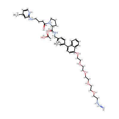 C=C(/C=C\C(=C/C)c1ccc(OCCOCCOCCOCCOCCN=[N+]=[N-])c2ccccc12)[C@H](CC(=O)O)NC(=O)[C@@H]1CCCN1C(=O)CCCNc1cc(C)ccn1